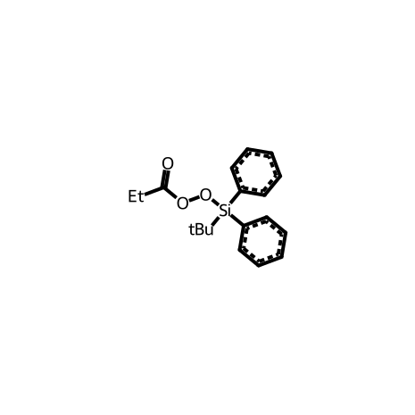 CCC(=O)OO[Si](c1ccccc1)(c1ccccc1)C(C)(C)C